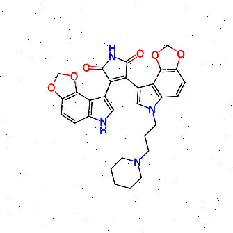 O=C1NC(=O)C(c2cn(CCCN3CCCCC3)c3ccc4c(c23)OCO4)=C1c1c[nH]c2ccc3c(c12)OCO3